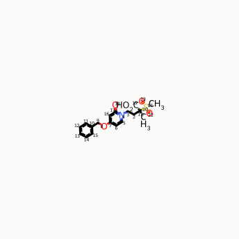 CC(CCn1ccc(OCc2ccccc2)cc1=O)(C(=O)O)S(C)(=O)=O